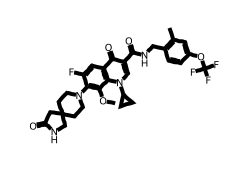 COc1c(N2CCC3(CC2)CNC(=O)C3)c(F)cc2c(=O)c(C(=O)NCc3ccc(OC(F)(F)F)cc3C)cn(C3CC3)c12